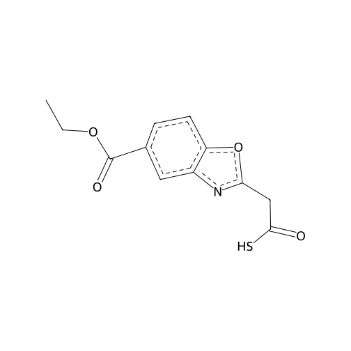 CCOC(=O)c1ccc2oc(CC(=O)S)nc2c1